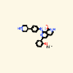 CCCOc1ccccc1-c1cc2cc[nH]c(=O)c2c(Nc2ccc(C3CCNCC3)cc2)n1